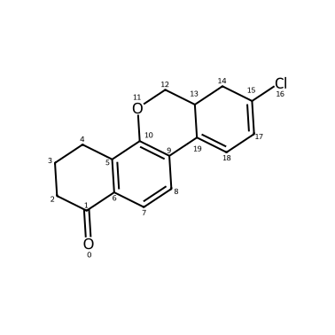 O=C1CCCc2c1ccc1c2OCC2CC(Cl)=CC=C12